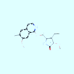 CCC1C(COc2nccc3cc(C)c(OC)cc23)NC(=O)[C@@H]1OC